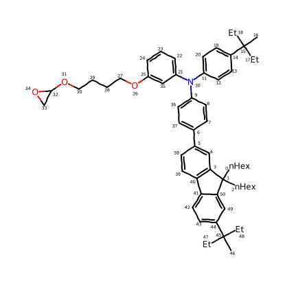 CCCCCCC1(CCCCCC)c2cc(-c3ccc(N(c4ccc(C(C)(CC)CC)cc4)c4cccc(OCCCCOC5CO5)c4)cc3)ccc2-c2ccc(C(C)(CC)CC)cc21